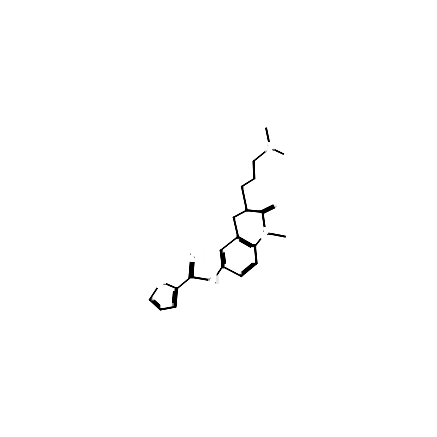 CN(C)CCCC1Cc2cc(NC(=N)c3cccs3)ccc2N(C)C1=O